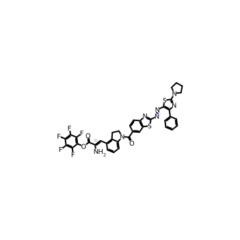 N/C(=C\c1cccc2c1CCN2C(=O)c1ccc2nc(/N=N/c3sc(N4CCCC4)nc3-c3ccccc3)sc2c1)C(=O)Oc1c(F)c(F)c(F)c(F)c1F